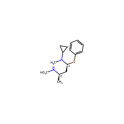 C[C@H](C[C@H](Sc1ccccc1)N(C)C1CC1)NC(=O)O